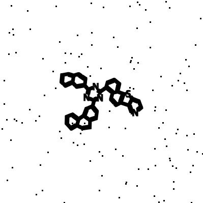 c1ccc2cc(-c3nc(-c4ccc5ccc6ccccc6c5c4)nc(-c4cccc5c4ccc4c6cnccc6sc54)n3)ccc2c1